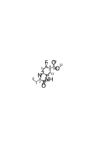 CCc1nc2cc(F)c(C(=O)OC)cc2[nH]c1=O